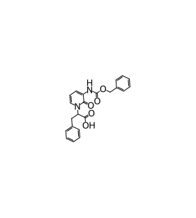 O=C(Nc1cccn(C(Cc2ccccc2)C(=O)O)c1=O)OCc1ccccc1